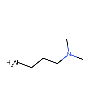 CN(C)CC[CH2][AlH2]